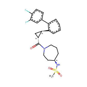 CS(=O)(=O)N[C@@H]1CCCN(C(=O)[C@@H]2C[C@H]2c2ccccc2-c2ccc(F)c(F)c2)CC1